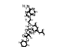 CC(C)CC(CC(C)C)=NO[P@](=O)(CO[C@H](C)Cn1cnc2c(N)ncnc21)NC(C)(C)C(=O)OC1CCCCC1